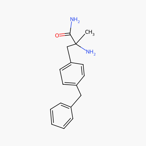 CC(N)(Cc1ccc(Cc2ccccc2)cc1)C(N)=O